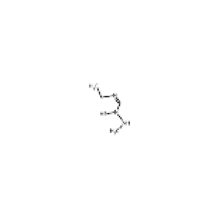 CC/N=C\N(S)NC